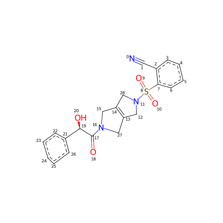 N#Cc1ccccc1S(=O)(=O)N1CC2=C(CN(C(=O)[C@H](O)c3ccccc3)C2)C1